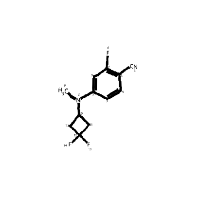 CN(c1ccc(C#N)c(F)c1)C1CC(F)(F)C1